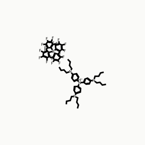 CCCCN(CCCC)c1ccc([NH+](c2ccc(N(CCCC)CCCC)cc2)c2ccc(N(CCCC)CCCC)cc2)cc1.Fc1c(F)c(F)c([B-](c2c(F)c(F)c(F)c(F)c2F)(c2c(F)c(F)c(F)c(F)c2F)c2c(F)c(F)c(F)c(F)c2F)c(F)c1F